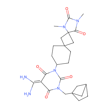 CN1C(=O)N(C)C2(CC3(CCC(N4C(=O)C(=C(N)N)C(=O)N(CC56CCC(C5)C6)C4=O)CC3)C2)C1=O